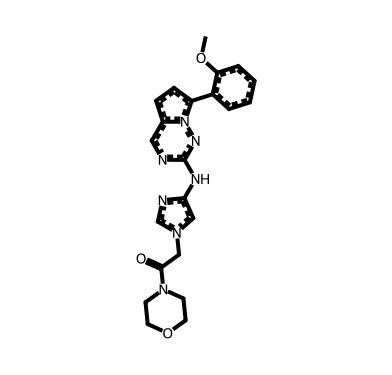 COc1ccccc1-c1ccc2cnc(Nc3cn(CC(=O)N4CCOCC4)cn3)nn12